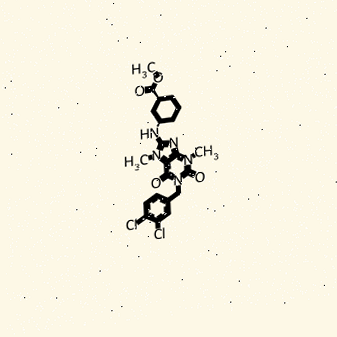 COC(=O)[C@H]1CCC[C@H](Nc2nc3c(c(=O)n(Cc4ccc(Cl)c(Cl)c4)c(=O)n3C)n2C)C1